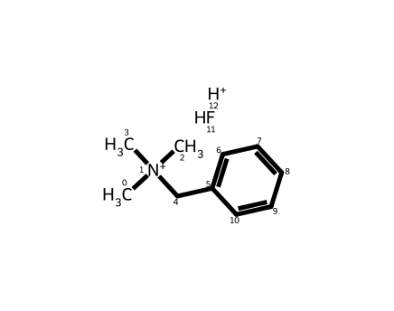 C[N+](C)(C)Cc1ccccc1.F.[H+]